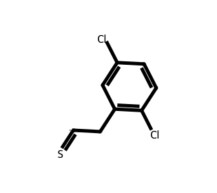 S=[C]Cc1cc(Cl)ccc1Cl